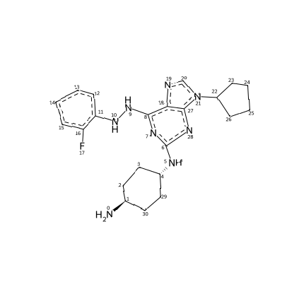 N[C@H]1CC[C@H](Nc2nc(NNc3ccccc3F)c3ncn(C4CCCC4)c3n2)CC1